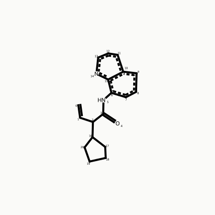 C=CC(C(=O)Nc1cccc2cccnc12)C1CCCC1